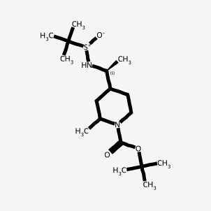 CC1CC([C@H](C)N[S+]([O-])C(C)(C)C)CCN1C(=O)OC(C)(C)C